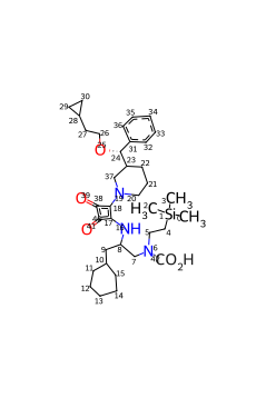 C[Si](C)(C)CCN(CC(CC1CCCCC1)Nc1c(N2CCCC([C@H](OCCC3CC3)c3ccccc3)C2)c(=O)c1=O)C(=O)O